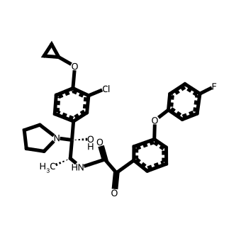 C[C@@H](NC(=O)C(=O)c1cccc(Oc2ccc(F)cc2)c1)[C@](O)(c1ccc(OC2CC2)c(Cl)c1)N1CCCC1